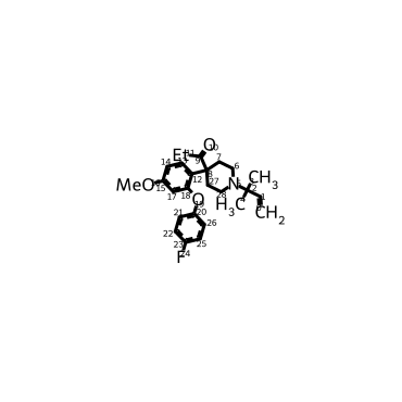 C=CC(C)(C)N1CCC(C(=O)CC)(c2ccc(OC)cc2Oc2ccc(F)cc2)CC1